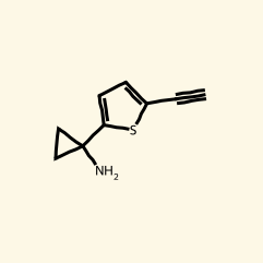 C#Cc1ccc(C2(N)CC2)s1